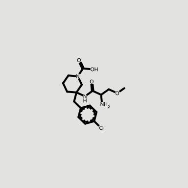 COCC(N)C(=O)NC1(Cc2ccc(Cl)cc2)CCCN(C(=O)O)C1